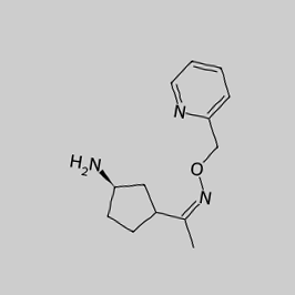 CC(=NOCc1ccccn1)C1CC[C@@H](N)C1